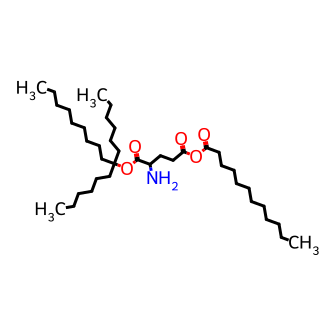 CCCCCCCCCCCC(=O)OC(=O)CCC(N)C(=O)OC(CCCCCC)(CCCCCC)CCCCCCCCC